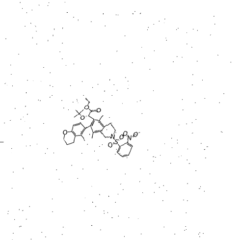 CCOC(=O)[C@@H](OC(C)(C)C)c1c(C)c2c(c(C)c1-c1ccc3c(c1C)CCCO3)CN(S(=O)(=O)c1ccccc1[N+](=O)[O-])CC2